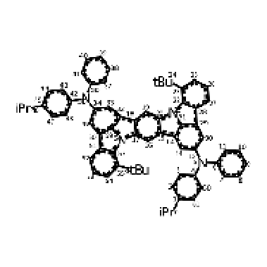 CC(C)c1ccc(N(c2ccccc2)c2cc3c4cc5c(cc4n4c6c(C(C)(C)C)cccc6c(c2)c34)c2cc(N(c3ccccc3)c3ccc(C(C)C)cc3)cc3c4cccc(C(C)(C)C)c4n5c23)cc1